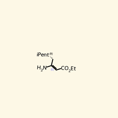 CCC[C@@H](C)C/C(N)=C\C(=O)OCC